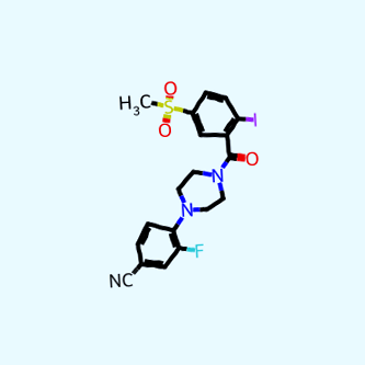 CS(=O)(=O)c1ccc(I)c(C(=O)N2CCN(c3ccc(C#N)cc3F)CC2)c1